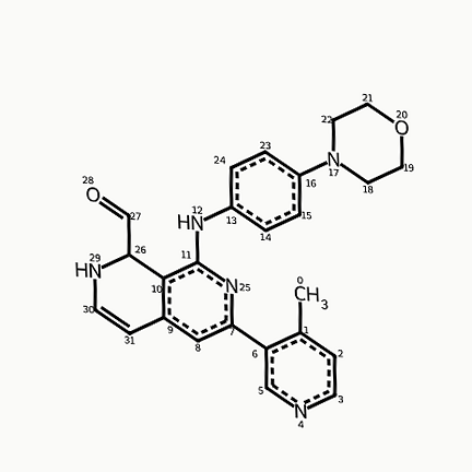 Cc1ccncc1-c1cc2c(c(Nc3ccc(N4CCOCC4)cc3)n1)C(C=O)NC=C2